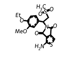 CCOc1ccc(C(CS(C)(=O)=O)N2C(=O)c3csc(N)c3C2=O)cc1OC